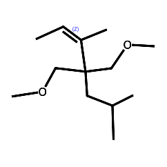 C/C=C(/C)C(COC)(COC)CC(C)C